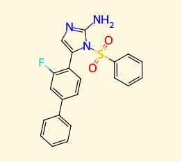 Nc1ncc(-c2ccc(-c3ccccc3)cc2F)n1S(=O)(=O)c1ccccc1